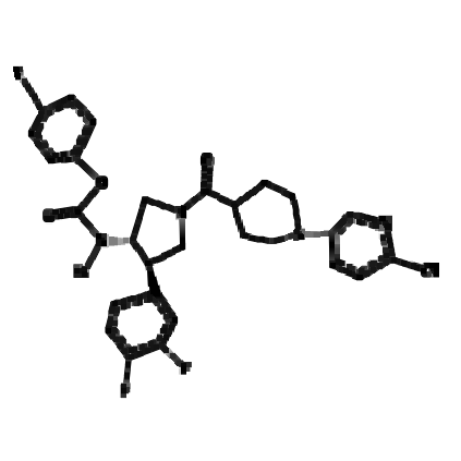 CCN(C(=O)Oc1ccc(F)cc1)[C@@H]1CN(C(=O)C2CCN(c3ccc(C#N)nc3)CC2)C[C@H]1c1ccc(F)c(F)c1